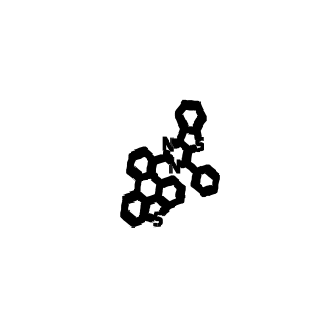 c1ccc(-c2nc(-c3cccc4c5cccc6sc7cccc(c34)c7c65)nc3c2sc2ccccc23)cc1